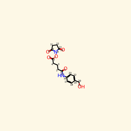 O=C(CCCC(=O)ON1C(=O)CCC1=O)Nc1ccc(CO)cc1